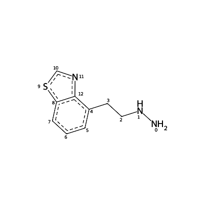 NNCCc1cccc2scnc12